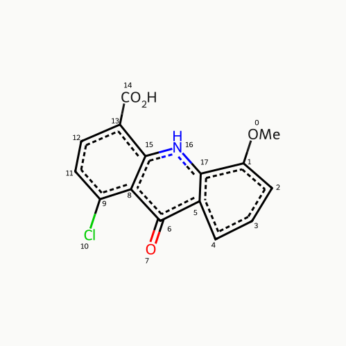 COc1cccc2c(=O)c3c(Cl)ccc(C(=O)O)c3[nH]c12